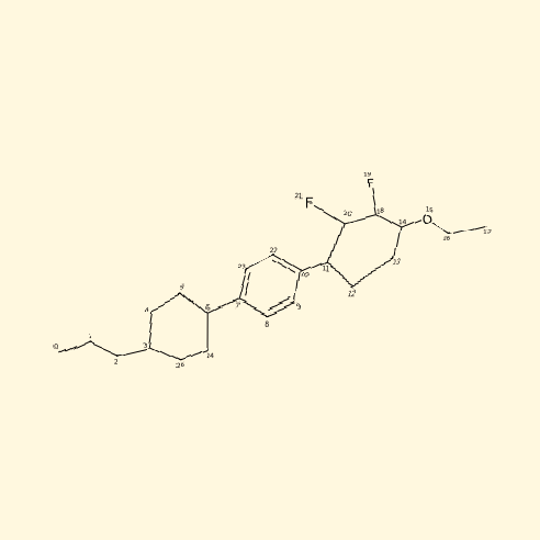 CCCC1CCC(c2ccc(C3CCC(OCC)C(F)C3F)cc2)CC1